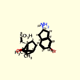 CC1(C)C2CC[C@]1(CS(=O)(=O)O)C(=O)C2.N[C@H]1Cc2ccc(Br)cc2C1